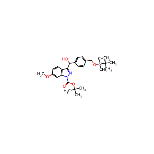 COc1ccc2c(C(O)c3ccc(CO[Si](C)(C)C(C)(C)C)cc3)nn(C(=O)OC(C)(C)C)c2c1